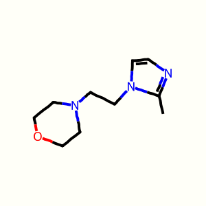 Cc1nccn1CCN1CCOCC1